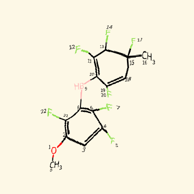 COc1cc(F)c(F)c(BC2=C(F)C(F)C(C)(F)C=C2F)c1F